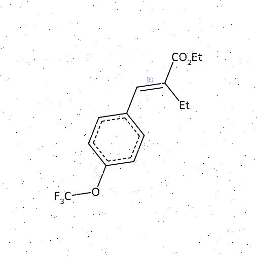 CCOC(=O)/C(=C/c1ccc(OC(F)(F)F)cc1)CC